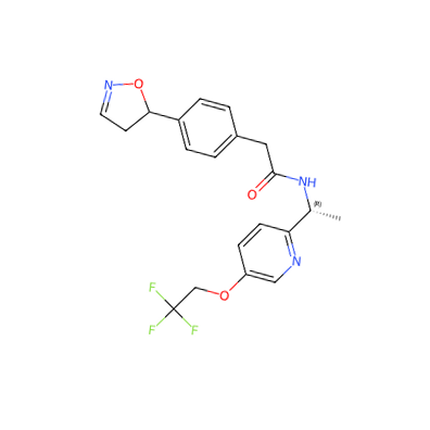 C[C@@H](NC(=O)Cc1ccc(C2CC=NO2)cc1)c1ccc(OCC(F)(F)F)cn1